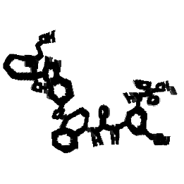 CC(C)(C)c1cc(NC(=O)N[C@H]2CC[C@@H](Oc3ccc4nnc([C@]5(C)CCCN5CCO)n4c3)c3ccccc32)cc(NS(C)(=O)=O)c1